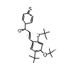 CC(C)(C)Oc1cc(OC(C)(C)C)c(C(C)(C)C)cc1/C=C/C(=O)C1C=CC(=S)C=C1